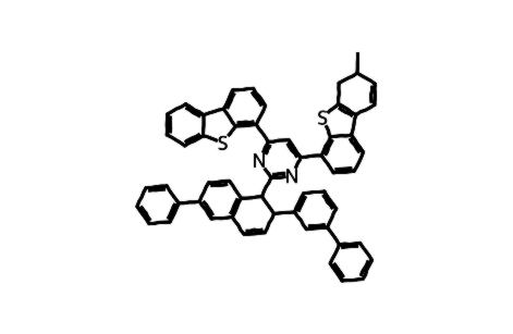 CC1C=Cc2c(sc3c(-c4cc(-c5cccc6c5sc5ccccc56)nc(C5c6ccc(-c7ccccc7)cc6C=CC5c5cccc(-c6ccccc6)c5)n4)cccc23)C1